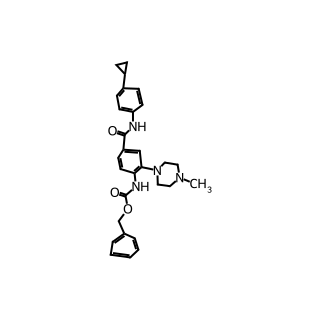 CN1CCN(c2cc(C(=O)Nc3ccc(C4CC4)cc3)ccc2NC(=O)OCc2ccccc2)CC1